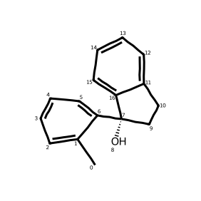 Cc1ccccc1[C@]1(O)CCc2ccccc21